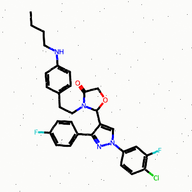 CCCCNc1ccc(CCN2C(=O)COC2c2cn(-c3ccc(Cl)c(F)c3)nc2-c2ccc(F)cc2)cc1